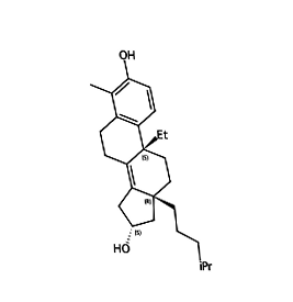 CC[C@@]12CC[C@]3(CCCC(C)C)C[C@H](O)CC3=C1CCc1c2ccc(O)c1C